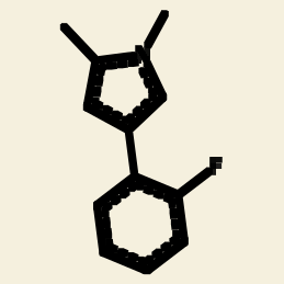 Cc1cc(-c2ccccc2F)cn1C